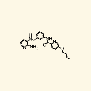 C/C=C/COc1ccc(C(=O)Nc2cccc(CNc3cccnc3N)c2)nc1